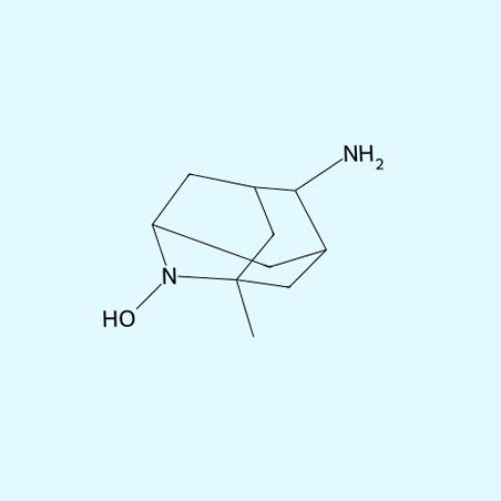 CC12CC3CC(CC(C1)C3N)N2O